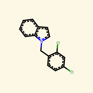 Clc1ccc(Cn2ccc3ccccc32)c(Cl)c1